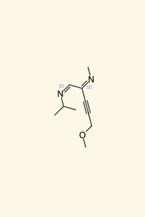 C/N=C(C#CCOC)\C=N/C(C)C